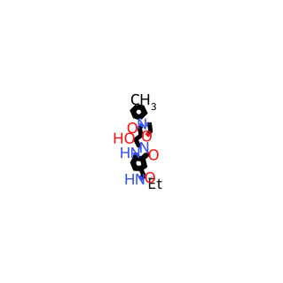 CCOC(=N)c1ccc2[nH]c([C@H](O)[C@H]3OCCN(c4ccc(C)cc4)C3=O)nc(=O)c2c1